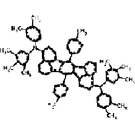 Cc1ccc(-c2c3c4ccc(C(c5ccc(C)c(C)c5)c5cc(C)c(C)c(C)c5)c5cccc(c3c(-c3ccc(C)cc3)c3c6ccc(N(c7ccc(C)c(C)c7)c7cc(C)c(C)c(C)c7)c7cccc(c23)c76)c54)cc1